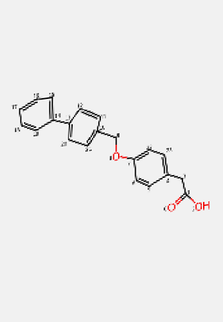 O=C(O)Cc1ccc(OCc2ccc(-c3ccccc3)cc2)cc1